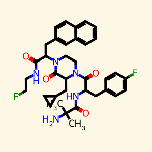 CC(C)(N)C(=O)NC(Cc1ccc(F)cc1)C(=O)N1CCN(C(Cc2ccc3ccccc3c2)C(=O)NCCF)C(=O)C1CC1CC1